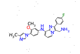 COc1cc(Nc2cccn3c(CN)c(-c4ccc(F)cc4)nc23)ccc1-n1cnc(C)c1